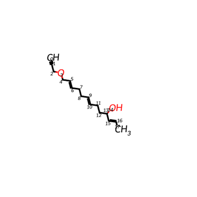 C#CCOCC=CCCC=CCCC(O)C=CC